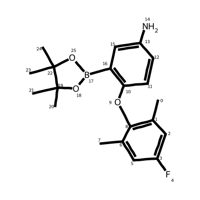 Cc1cc(F)cc(C)c1Oc1ccc(N)cc1B1OC(C)(C)C(C)(C)O1